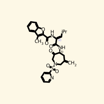 C=C1C[C@H](NC(=O)/C(=C/C(C)C)NC(=O)c2oc3ccccc3c2C)C(=O)CN(S(=O)(=O)c2ccccn2)C1